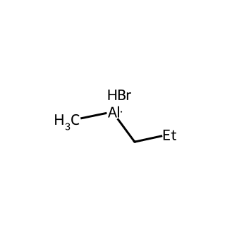 Br.CC[CH2][Al][CH3]